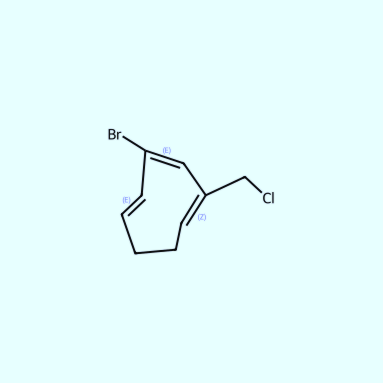 ClCC1=C\CC/C=C/C(Br)=C\1